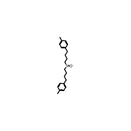 Cc1ccc(CCCC[S+]([O-])CCCCc2ccc(C)cc2)cc1